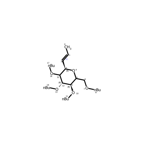 C/C=C/[C@H]1OC(COCCCC)[C@@H](OCCCC)[C@H](OCCCC)C1OCCCC